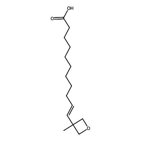 CC1(C=CCCCCCCCCC(=O)O)COC1